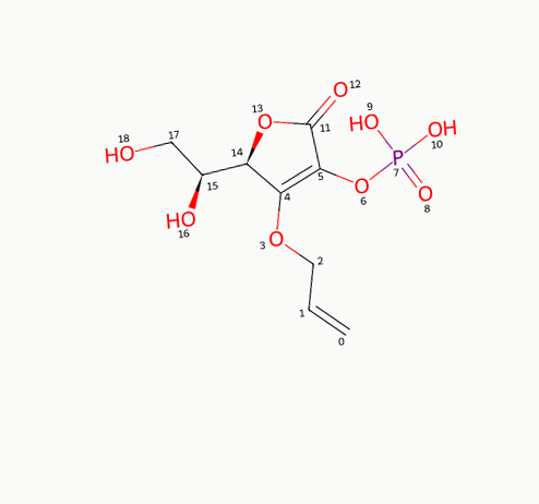 C=CCOC1=C(OP(=O)(O)O)C(=O)O[C@@H]1[C@@H](O)CO